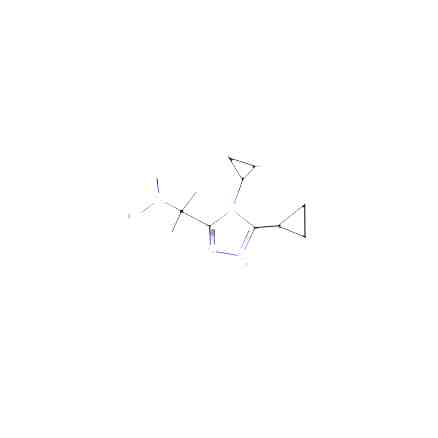 CC(C)N(C)C(C)(C)c1nnc(C2CC2)n1C1CC1.Cl